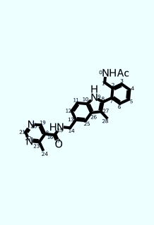 CC(=O)NCc1ccccc1-c1[nH]c2ccc(CNC(=O)c3cncnc3C)cc2c1C